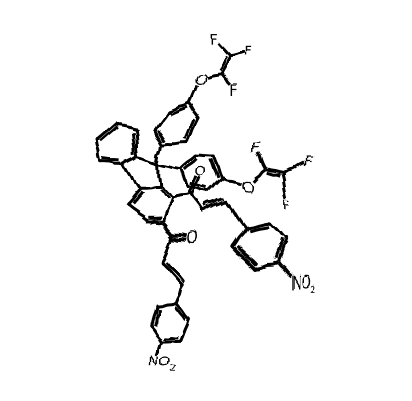 O=C(C=Cc1ccc([N+](=O)[O-])cc1)c1ccc2c(c1C(=O)C=Cc1ccc([N+](=O)[O-])cc1)C(c1ccc(OC(F)=C(F)F)cc1)(c1ccc(OC(F)=C(F)F)cc1)c1ccccc1-2